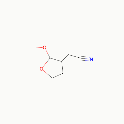 COC1OCCC1CC#N